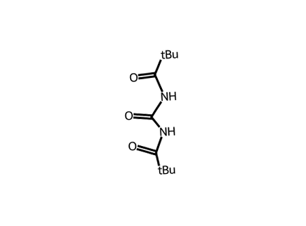 CC(C)(C)C(=O)NC(=O)NC(=O)C(C)(C)C